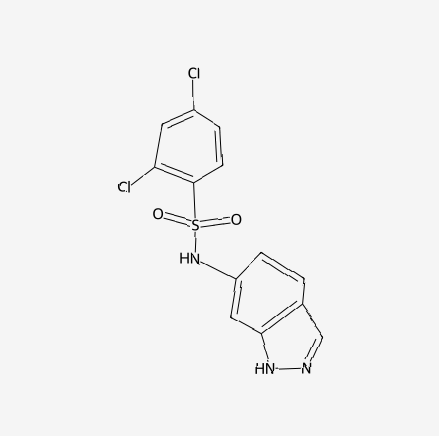 O=S(=O)(Nc1ccc2cn[nH]c2c1)c1ccc(Cl)cc1Cl